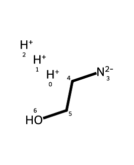 [H+].[H+].[H+].[N-2]CCO